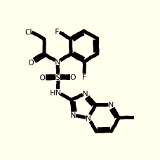 Cc1ccn2nc(NS(=O)(=O)N(C(=O)CCl)c3c(F)cccc3F)nc2n1